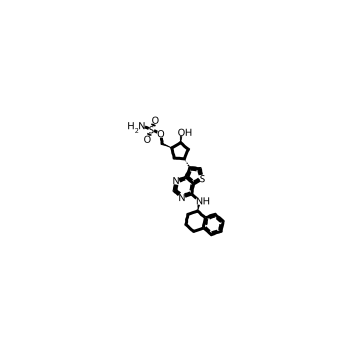 NS(=O)(=O)OC[C@@H]1C[C@@H](c2csc3c(N[C@@H]4CCCc5ccccc54)ncnc23)C[C@@H]1O